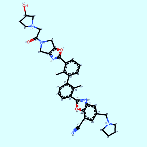 Cc1c(-c2nc3c(o2)CN(C(=O)CN2CCC(O)C2)C3)cccc1-c1cccc(-c2nc3cc(CN4CCCC4)cc(C#N)c3o2)c1C